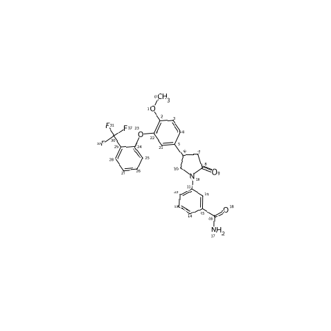 COc1ccc(C2CC(=O)N(c3cccc(C(N)=O)c3)C2)cc1Oc1ccccc1C(F)(F)F